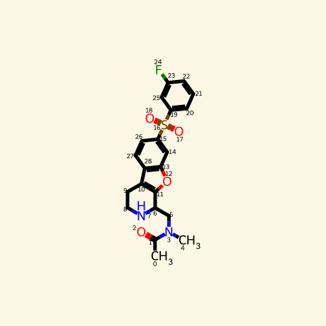 CC(=O)N(C)CC1NCCc2c1oc1cc(S(=O)(=O)c3cccc(F)c3)ccc21